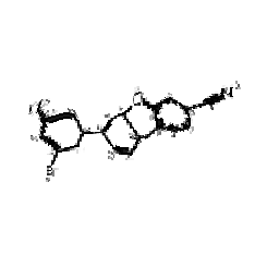 N#Cc1ccc2c(c1)OC1C=C(C3C=C(Cl)C=C(Br)C3)C=CC21